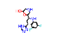 OC1CNCC(C(CCc2nnc[nH]2)Nc2cc(F)cc(F)c2)O1